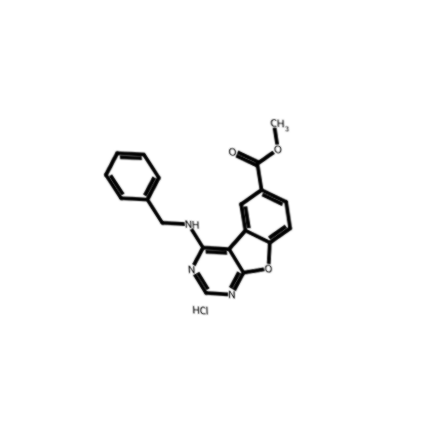 COC(=O)c1ccc2oc3ncnc(NCc4ccccc4)c3c2c1.Cl